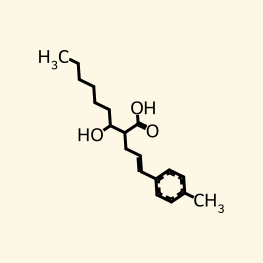 CCCCCCC(O)C(C/C=C/c1ccc(C)cc1)C(=O)O